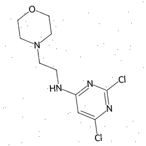 Clc1cc(NCCN2CCOCC2)nc(Cl)n1